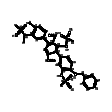 COc1cc(-c2ccc(C)c(N(C)S(C)(=O)=O)c2)c(OC)c(OS(C)(=O)=O)c1-c1ccc(OCc2ccccc2)c(OS(C)(=O)=O)c1